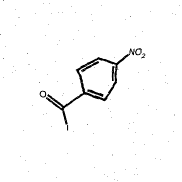 O=C(I)c1ccc([N+](=O)[O-])cc1